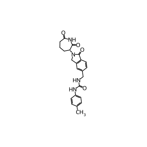 Cc1ccc(NC(=O)NCc2ccc3c(c2)CN([C@H]2CCCC(=O)NC2=O)C3=O)cc1